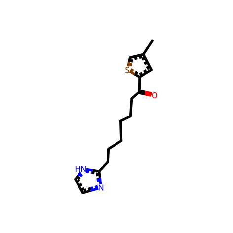 Cc1csc(C(=O)CCCCCCc2ncc[nH]2)c1